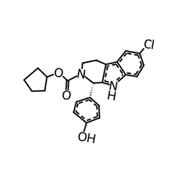 O=C(OC1CCCC1)N1CCc2c([nH]c3ccc(Cl)cc23)[C@@H]1c1ccc(O)cc1